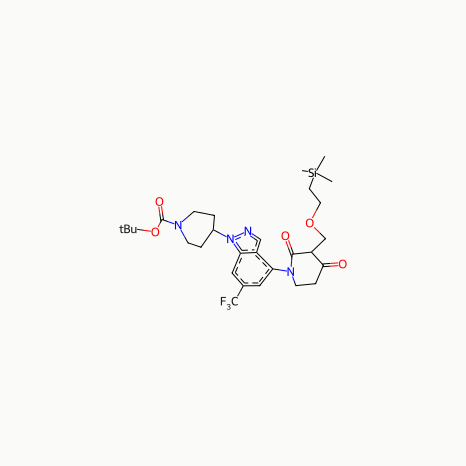 CC(C)(C)OC(=O)N1CCC(n2ncc3c(N4CCC(=O)C(COCC[Si](C)(C)C)C4=O)cc(C(F)(F)F)cc32)CC1